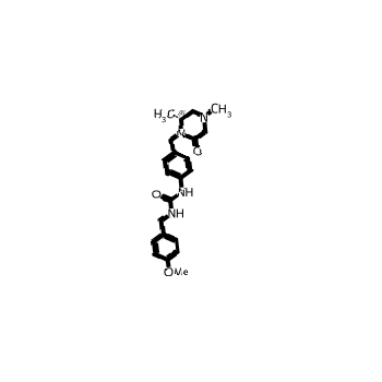 COc1ccc(CNC(=O)Nc2ccc(CN3C(=O)CN(C)C[C@H]3C)cc2)cc1